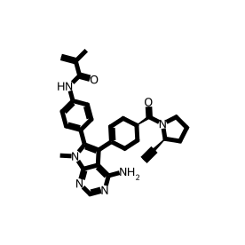 C#C[C@@H]1CCCN1C(=O)[C@@H]1CC=C(c2c(-c3ccc(NC(=O)C(=C)C)cc3)n(C)c3ncnc(N)c23)CC1